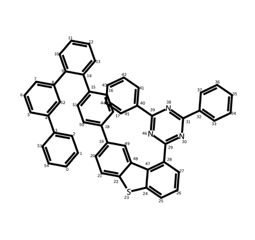 c1ccc(-c2cccc(-c3ccccc3-c3ccc(-c4ccc5sc6cccc(-c7nc(-c8ccccc8)nc(-c8ccccc8)n7)c6c5c4)cc3)c2)cc1